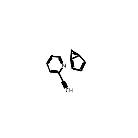 C#Cc1ccccn1.c1cc2cc-2c1